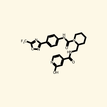 O=C(NCC1CCCCN1C(=O)Nc1ccc(-c2noc(C(F)(F)F)n2)cc1)c1ccnc(O)c1